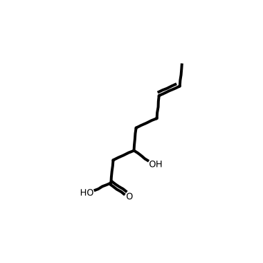 CC=CCCC(O)CC(=O)O